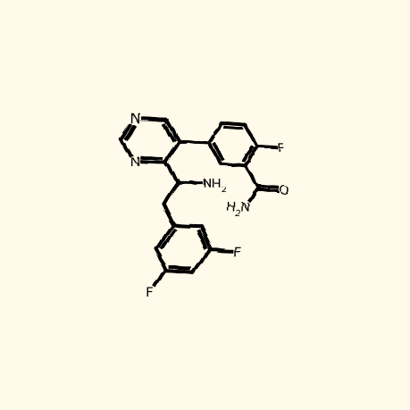 NC(=O)c1cc(-c2cncnc2C(N)Cc2cc(F)cc(F)c2)ccc1F